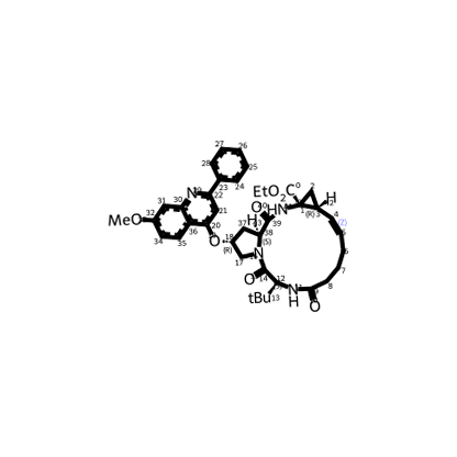 CCOC(=O)[C@@]12C[C@@H]1/C=C\CCCC(=O)N[C@@H](C(C)(C)C)C(=O)N1C[C@H](Oc3cc(-c4ccccc4)nc4cc(OC)ccc34)C[C@H]1C(=O)N2